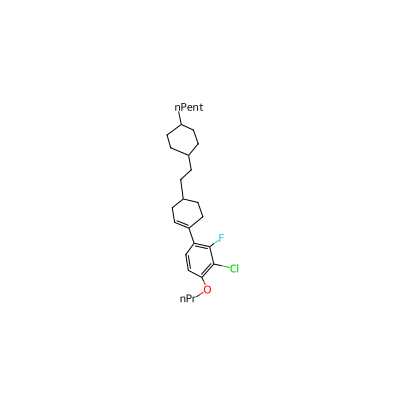 CCCCCC1CCC(CCC2CC=C(c3ccc(OCCC)c(Cl)c3F)CC2)CC1